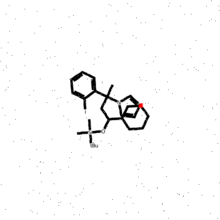 CC(CC(O[Si](C)(C)C(C)(C)C)C1CCCCC1)(c1ccccc1I)n1ccnc1